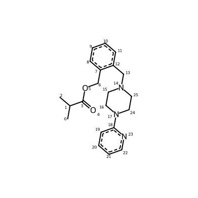 CC(C)C(=O)OCc1ccccc1CN1CCN(c2ccccn2)CC1